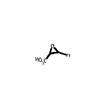 CCC1OC1C(=O)O